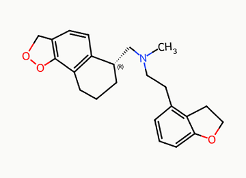 CN(CCc1cccc2c1CCO2)C[C@@H]1CCCc2c1ccc1c2OOC1